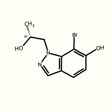 C[C@@H](O)Cn1ncc2ccc(O)c(Br)c21